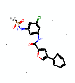 CS(=O)(=O)Nc1cc(Cl)cc(NC(=O)c2cc(-c3ccccc3)co2)c1